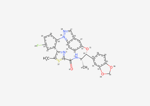 Cc1cnc(C(=O)N[C@@H](C)[C@H](Oc2ccc3c(cnn3-c3ccc(F)cc3)c2)c2ccc3c(c2)OCO3)s1